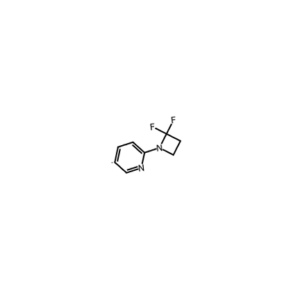 FC1(F)CCN1c1cc[c]cn1